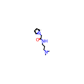 CN(C)CCCNC(=O)Cn1[c]ccc1